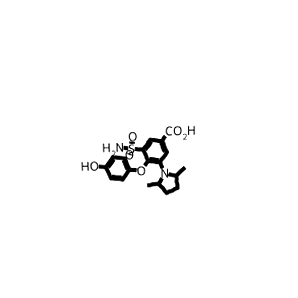 CC1CCC(C)N1c1cc(C(=O)O)cc(S(N)(=O)=O)c1Oc1ccc(O)cc1